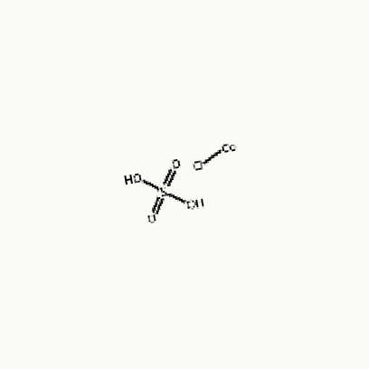 O=S(=O)(O)O.[Cl][Co]